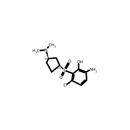 CN(C)[C@@H]1CC[C@H](S(=O)(=O)c2c(Cl)ccc(N)c2O)C1